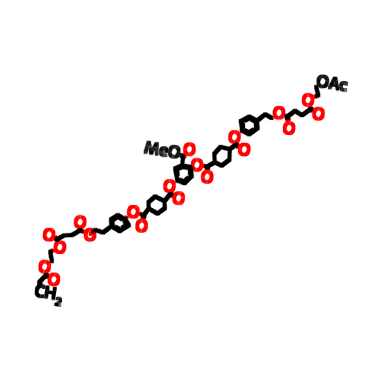 C=CC(=O)OCCOC(=O)CCC(=O)OCCc1ccc(OC(=O)C2CCC(C(=O)Oc3ccc(OC(=O)C4CCC(C(=O)Oc5ccc(CCOC(=O)CCC(=O)OCCOC(C)=O)cc5)CC4)c(C(=O)OC)c3)CC2)cc1